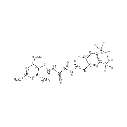 COc1cc(OC)c(CNNC(=O)c2ccc(Cc3cc4c(cc3C)C(C)(C)CCC4(C)C)o2)c(OC)c1